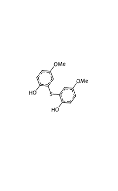 COc1ccc(O)c(Sc2cc(OC)ccc2O)c1